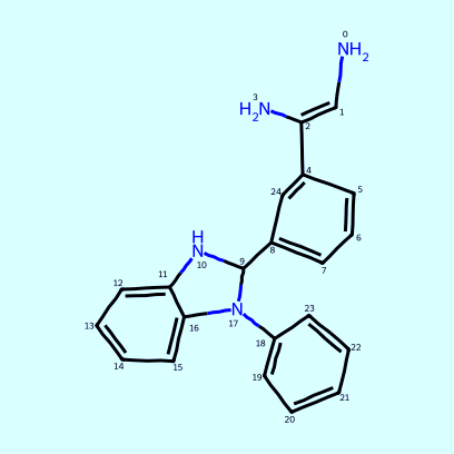 N/C=C(\N)c1cccc(C2Nc3ccccc3N2c2ccccc2)c1